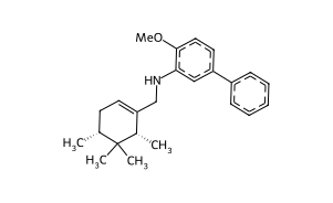 COc1ccc(-c2ccccc2)cc1NCC1=CC[C@@H](C)C(C)(C)[C@H]1C